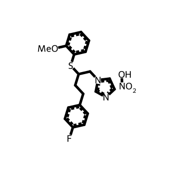 COc1ccccc1SC(CCc1ccc(F)cc1)Cn1ccnc1.O=[N+]([O-])O